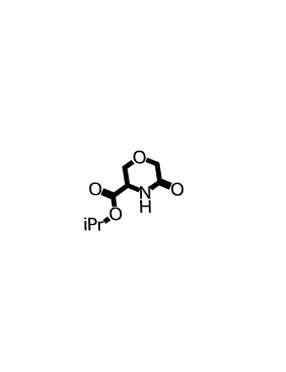 CC(C)OC(=O)C1COCC(=O)N1